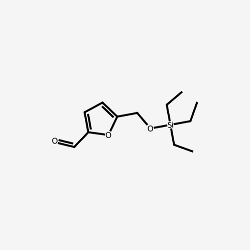 CC[Si](CC)(CC)OCc1ccc(C=O)o1